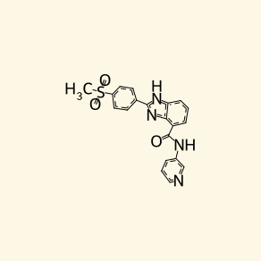 CS(=O)(=O)c1ccc(-c2nc3c(C(=O)Nc4cccnc4)cccc3[nH]2)cc1